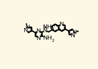 Cn1cc(-c2cnc3ccc(CN(N)c4nc(-c5cnn(C)c5)cnc4N)cc3c2)cn1